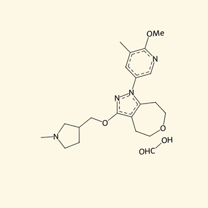 COc1ncc(-n2nc(OCC3CCN(C)C3)c3c2CCOCC3)cc1C.O=CO